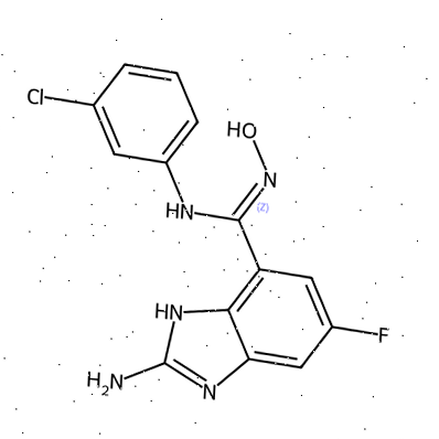 Nc1nc2cc(F)cc(/C(=N/O)Nc3cccc(Cl)c3)c2[nH]1